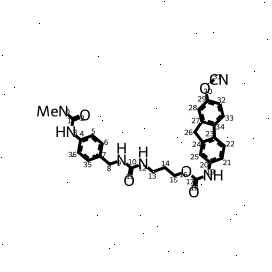 CNC(=O)Nc1ccc(CNC(=O)NCCCOC(=O)Nc2ccc3c(c2)Cc2cc(OC#N)ccc2-3)cc1